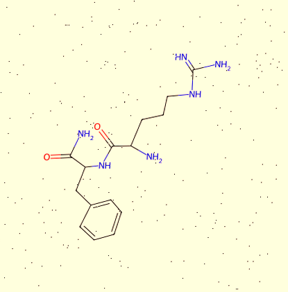 N=C(N)NCCCC(N)C(=O)NC(Cc1ccccc1)C(N)=O